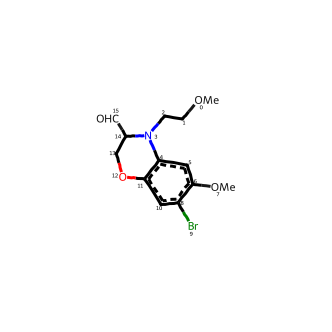 COCCN1c2cc(OC)c(Br)cc2OCC1C=O